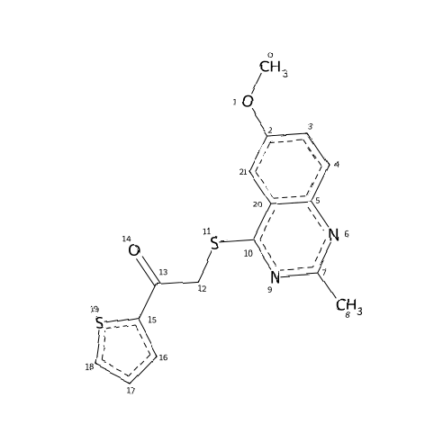 COc1ccc2nc(C)nc(SCC(=O)c3cccs3)c2c1